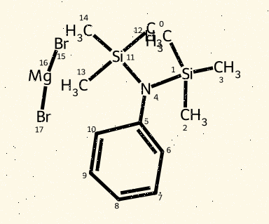 C[Si](C)(C)N(c1c[c]ccc1)[Si](C)(C)C.[Br][Mg][Br]